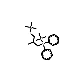 CC(CO[Si](C)(C)C)C[Si](c1ccccc1)(c1ccccc1)[Si](C)(C)C